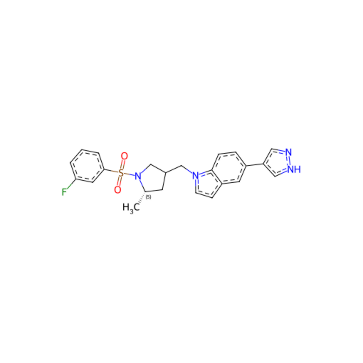 C[C@H]1CC(Cn2ccc3cc(-c4cn[nH]c4)ccc32)CN1S(=O)(=O)c1cccc(F)c1